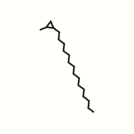 CCCCCCCCCCCCCCC[C]1CC1C